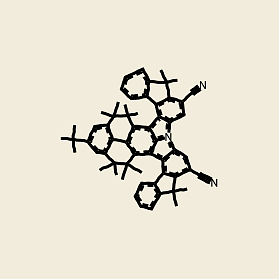 CC(C)(C)c1cc2c3c(c1)C(C)(C)C(C)(C)c1c-3c(c3c4c5c(c(C#N)cc4n4c6cc(C#N)c7c(c6c1c34)-c1ccccc1C7(C)C)C(C)(C)c1ccccc1-5)C(C)(C)C2(C)C